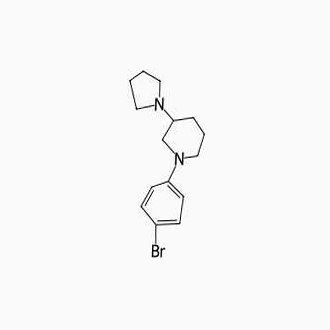 Brc1ccc(N2CCCC(N3CCCC3)C2)cc1